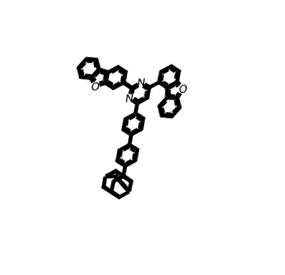 c1ccc2c(c1)oc1cc(-c3nc(-c4ccc(-c5ccc(C67CC8CC(CC(C8)C6)C7)cc5)cc4)cc(-c4cccc5oc6ccccc6c45)n3)ccc12